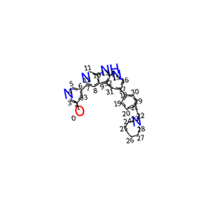 COc1cncc(-c2cc3c(cn2)[nH]c2ncc(-c4ccc(CN5CCCCC5)cc4)cc23)c1